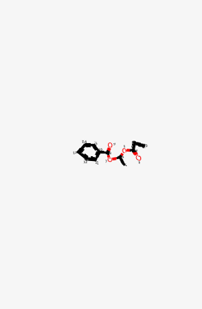 C=CC(=O)OC(C)OC(=O)c1ccccc1